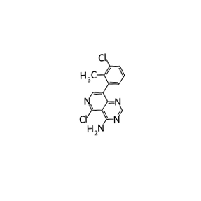 Cc1c(Cl)cccc1-c1cnc(Cl)c2c(N)ncnc12